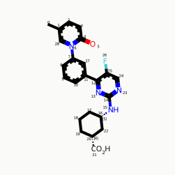 Cc1ccc(=O)n(-c2cccc(-c3nc(N[C@H]4CCC[C@@H](C(=O)O)C4)ncc3F)c2)c1